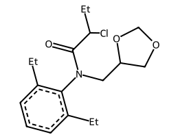 CCc1cccc(CC)c1N(CC1COCO1)C(=O)C(Cl)CC